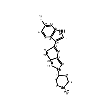 CC(=O)N1CCC(n2cc3cc(-c4c[nH]c5cc(F)ccc45)ccc3n2)CC1